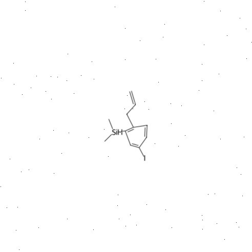 C=CCc1ccc(I)cc1[SiH](C)C